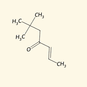 CC=CC(=O)CC(C)(C)C